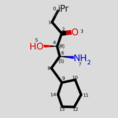 CC(C)CC(=O)[C@H](O)[C@@H](N)CC1CCCCC1